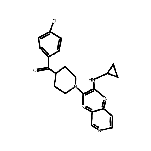 O=C(c1ccc(Cl)cc1)C1CCN(c2nc3cnccc3nc2NC2CC2)CC1